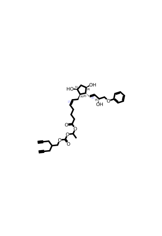 C#CCC(CC#C)COC(=O)OC(C)OC(=O)CCC/C=C\C[C@@H]1[C@@H](/C=C/[C@@H](O)COc2ccccc2)[C@H](O)C[C@@H]1O